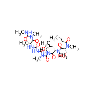 CCCC(=O)N(C)[C@H](CO)C(=O)N(C)[C@@H](CC(C)C)C(=O)NC(=O)N(C)C(=O)NC(=O)N[C@@H](C)C(=O)N(C)C(=O)NC